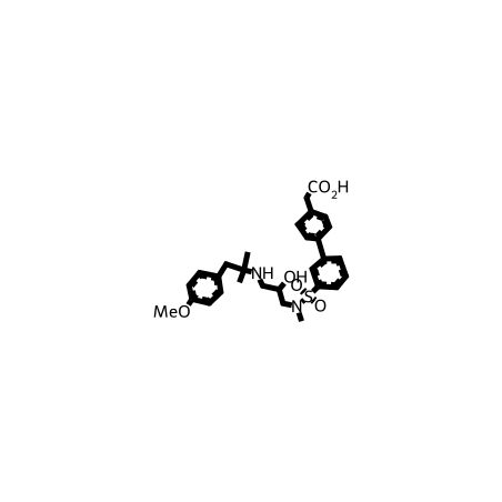 COc1ccc(CC(C)(C)NCC(O)CN(C)S(=O)(=O)c2cccc(-c3ccc(CC(=O)O)cc3)c2)cc1